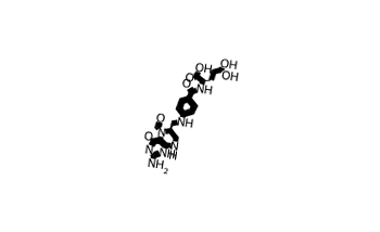 Nc1nc(=O)c2c([nH]1)NC[C@H](CNc1ccc(C(=O)N[C@@H](CCC(O)O)C(=O)O)cc1)N2C=O